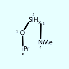 CC(C)O[SiH3].CNC